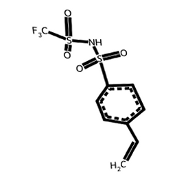 C=Cc1ccc(S(=O)(=O)NS(=O)(=O)C(F)(F)F)cc1